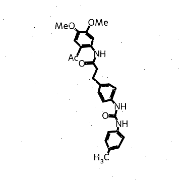 COc1cc(NC(=O)CCc2ccc(NC(=O)Nc3ccc(C)cc3)cc2)c(C(C)=O)cc1OC